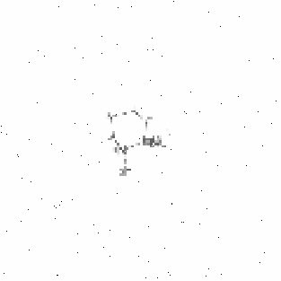 Cl.Cl.FN1CCCCC1